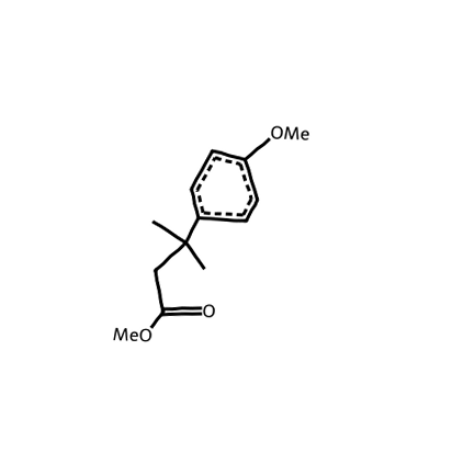 COC(=O)CC(C)(C)c1ccc(OC)cc1